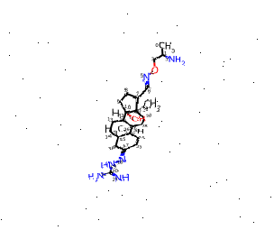 CC(N)CON=CC1CC[C@@]2(O)[C@@H]3CCC4CC(=NNC(=N)N)CC[C@]4(C)[C@@H]3CC[C@]12C